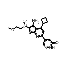 COCC[S+]([O-])c1sc2nc(-c3cn[nH]c(=O)c3)cc(C3CCC3)c2c1N